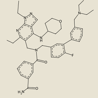 CCc1nc2c(cnn2CC)c(NC2CCOCC2)c1CN(Cc1ccc(F)c(-c2cccc(CN(CC)CC)c2)c1)C(=O)c1cccc(C(N)=O)c1